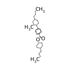 CCCCC1CCC(c2ccc(C(=O)O[C@H]3CC[C@H](CCCC)CC3)cc2)C(C)C1